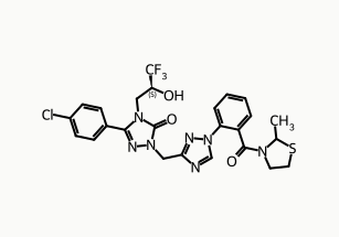 CC1SCCN1C(=O)c1ccccc1-n1cnc(Cn2nc(-c3ccc(Cl)cc3)n(C[C@H](O)C(F)(F)F)c2=O)n1